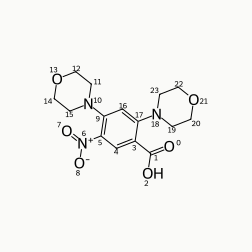 O=C(O)c1cc([N+](=O)[O-])c(N2CCOCC2)cc1N1CCOCC1